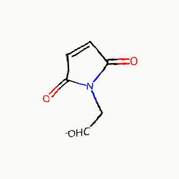 O=[C]CN1C(=O)C=CC1=O